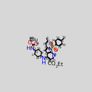 C/C=C/c1cc2c(NC3CCC(NC(=O)OC(C)(C)C)CC3)c(C(=O)OCC)cnc2n1S(=O)(=O)c1ccc(C)cc1